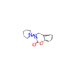 O=C1Oc2ccccc2CN1N1CCCCC1